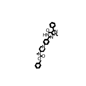 CN(C(=O)OCc1ccccc1)C1CCN(c2ccc(-c3nc4c(c(-c5ccccc5)nn4C)c(=O)[nH]3)cc2)CC1